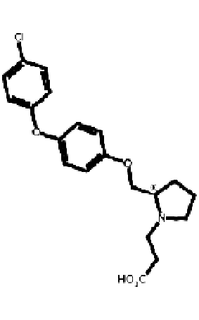 O=C(O)CCN1CCC[C@@H]1COc1ccc(Oc2ccc(Cl)cc2)cc1